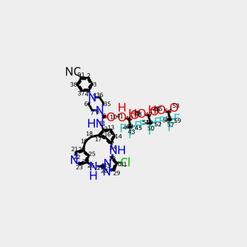 N#Cc1ccc(N2CCN(C(=O)Nc3ccc4cc3CCc3cncc(c3)Nc3ncc(Cl)c(n3)N4)CC2)cc1.O=C(O)C(F)(F)F.O=C(O)C(F)(F)F.O=C(O)C(F)(F)F